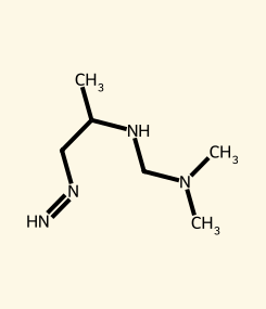 CC(CN=N)NCN(C)C